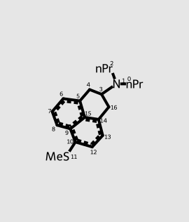 CCCN(CCC)C1Cc2cccc3c(SC)ccc(c23)C1